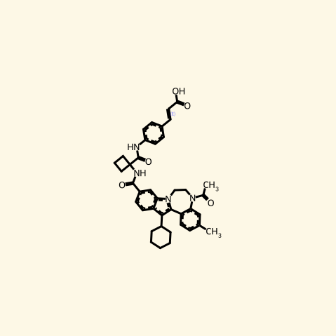 CC(=O)N1CCn2c(c(C3CCCCC3)c3ccc(C(=O)NC4(C(=O)Nc5ccc(/C=C/C(=O)O)cc5)CCC4)cc32)-c2ccc(C)cc21